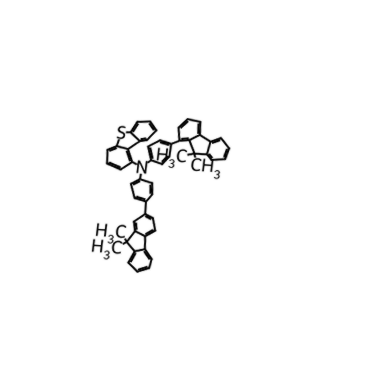 CC1(C)c2ccccc2-c2ccc(-c3ccc(N(c4ccc(-c5cccc6c5C(C)(C)c5ccccc5-6)cc4)c4cccc5sc6ccccc6c45)cc3)cc21